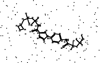 CCC(C)(C)CC(C)(C)C(=O)Nc1ccc(-n2nnc(C(=O)NC(C)(C)CC(C)(C)CC3CCC3)n2)cc1